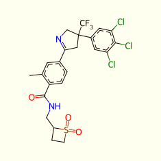 Cc1cc(C2=NCC(c3cc(Cl)c(Cl)c(Cl)c3)(C(F)(F)F)C2)ccc1C(=O)NCC1CCS1(=O)=O